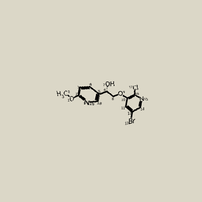 COc1ccc([C@H](O)COc2cc(Br)cnc2Cl)cn1